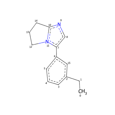 CCc1cccc(-c2cnc3n2CCC3)c1